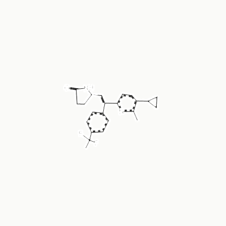 Cc1nc(C(=C[C@H]2CCC(=O)N2)c2ccc(C(C)(F)F)cc2)ccc1C1CC1